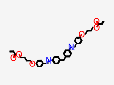 C=CC(=O)OCCCCOc1ccc(/C=N/c2ccc(Cc3ccc(/N=C/c4ccc(OCCCCOC(=O)C=C)cc4)cc3)cc2)cc1